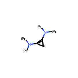 CC(C)N(C1=C(N(C(C)C)C(C)C)[C]1)C(C)C